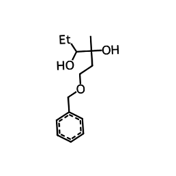 CCC(O)C(C)(O)CCOCc1ccccc1